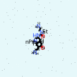 CCCN1C[C@@H](NC(=O)N(CC)CCN(C)C)C[C@@H]2CC(=O)C(=CCN(C)C)C[C@H]21